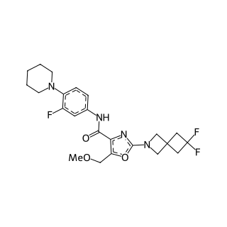 COCc1oc(N2CC3(C2)CC(F)(F)C3)nc1C(=O)Nc1ccc(N2CCCCC2)c(F)c1